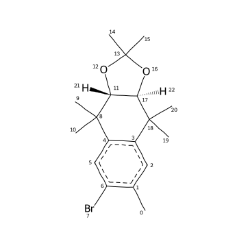 Cc1cc2c(cc1Br)C(C)(C)[C@@H]1OC(C)(C)O[C@H]1C2(C)C